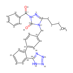 CCCCc1nn(C(=O)c2ccccc2)c(=O)n1Cc1ccc(-c2ccccc2-c2nnn[nH]2)cc1